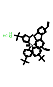 C=Cc1ccc2c(c1)-c1cc(C=C)c[c]([Zr](=[CH2])([C]3=CC(C(C)(C)C)=CC3C)([c]3ccc(C(C)(C)C)cc3)[c]3ccc(C(C)(C)C)cc3)c1C2.Cl.Cl